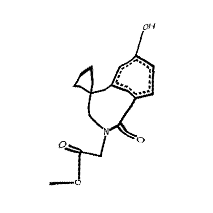 COC(=O)CN1CC2(CC2)c2cc(O)ccc2C1=O